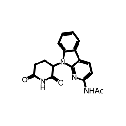 CC(=O)Nc1ccc2c3ccccc3n(C3CCC(=O)NC3=O)c2n1